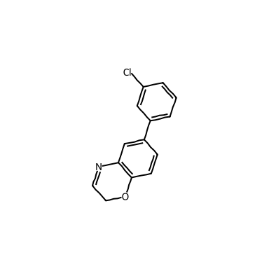 Clc1cccc(-c2ccc3c(c2)N=CCO3)c1